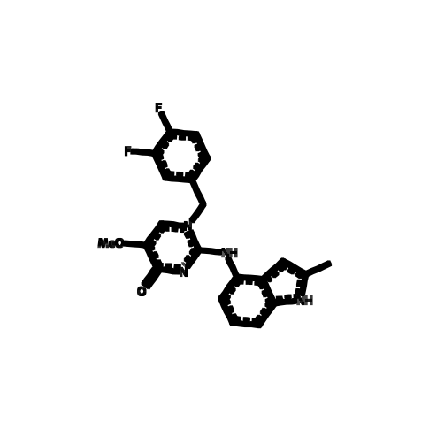 COc1cn(Cc2ccc(F)c(F)c2)c(Nc2cccc3[nH]c(C)cc23)nc1=O